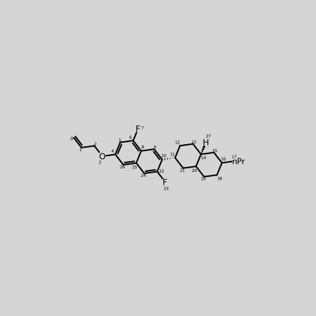 C=CCOc1cc(F)c2cc([C@@H]3CC[C@@H]4CC(CCC)CCC4C3)c(F)cc2c1